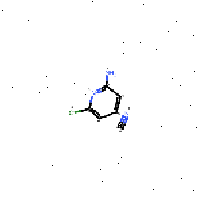 C#N.Nc1cccc(Cl)n1